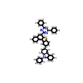 C1=C(c2ccc3sc4c(-c5nc(-c6ccccc6)nc(-c6ccccc6)n5)cc5ccccc5c4c3c2)C=C2c3ccccc3N(c3ccccc3)C2C1